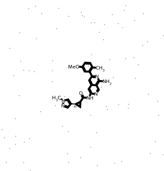 COc1ccc(C)c(-c2cc3cc(NC(=O)C4C[C@H]4c4cnn(C)c4)ncc3c(N)n2)c1